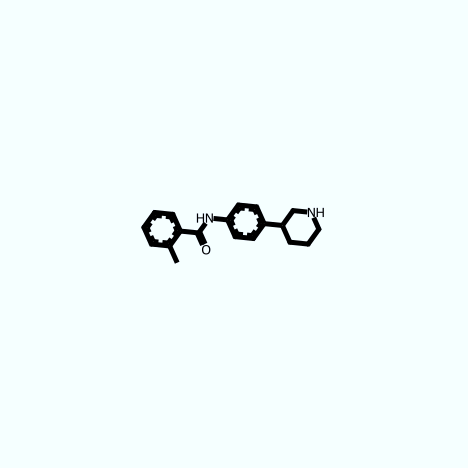 Cc1ccccc1C(=O)Nc1ccc(C2CCCNC2)cc1